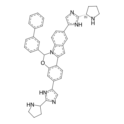 c1ccc(-c2cccc(C3Oc4cc(-c5cnc(C6CCCN6)[nH]5)ccc4-c4cc5cc(-c6cnc([C@@H]7CCCN7)[nH]6)ccc5n43)c2)cc1